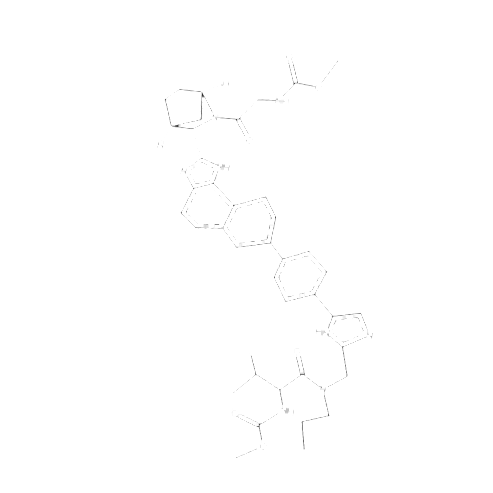 CCCN(Cc1ncc(-c2ccc(-c3ccc4c(ccc5nc([C@@H]6[C@H]7CC[C@H](C7)N6C(=O)CNC(=O)OC)[nH]c54)c3)cc2)[nH]1)C(=O)C(NC(=O)OC)C(C)C